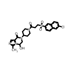 Cc1ncc2n1C(O)CN(C1CCN(C(=O)CCS(=O)(=O)c3ccc4cc(Cl)ccc4c3)CC1)C2=O